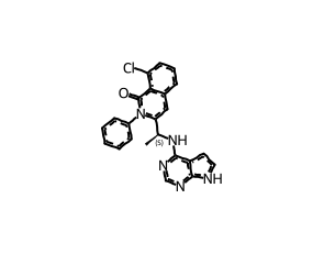 C[C@H](Nc1ncnc2[nH]ccc12)c1cc2cccc(Cl)c2c(=O)n1-c1ccccc1